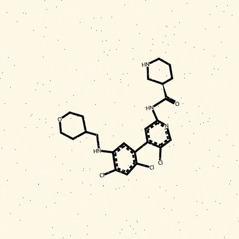 O=C(Nc1cc(-c2cc(NCC3CCOCC3)c(Cl)cc2Cl)c(Cl)cn1)[C@@H]1CCCNC1